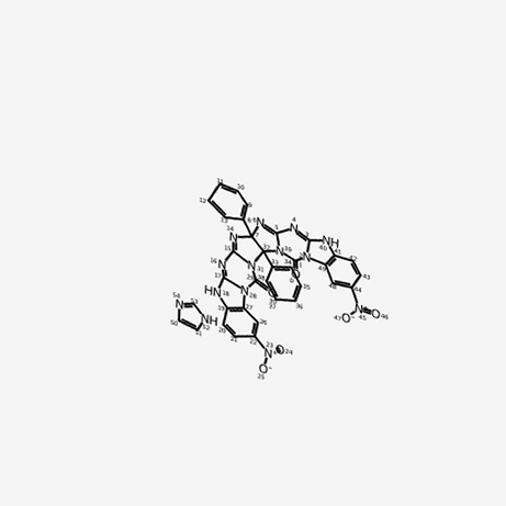 O=C1N2C(=NC3=NC4(c5ccccc5)N=C5N=C6Nc7ccc([N+](=O)[O-])cc7N6C(=O)N5C4(c4ccccc4)N13)Nc1ccc([N+](=O)[O-])cc12.c1c[nH]cn1